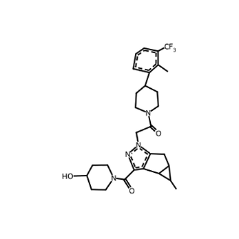 Cc1c(C2CCN(C(=O)Cn3nc(C(=O)N4CCC(O)CC4)c4c3CC3C(C)C43)CC2)cccc1C(F)(F)F